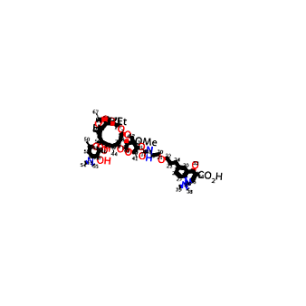 CC[C@H]1OC(=O)[C@H](C)[C@@H](O[C@H]2C[C@@](C)(OC)[C@@H](OC(=O)NCCOCCCc3ccc4c(c3)c(=O)c(C(=O)O)cn4N(C)C)[C@H](C)O2)[C@H](C)[C@@H](O[C@@H]2O[C@H](C)C[C@H](N(C)C)[C@H]2O)[C@](C)(O)C[C@@H](C)[C@@H]2O[C@H](C)O[C@H]2[C@]1(C)O